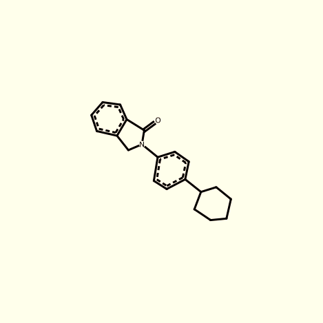 O=C1c2ccccc2CN1c1ccc(C2CCCCC2)cc1